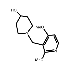 COc1ccnc(OC)c1CN1CCC(O)CC1